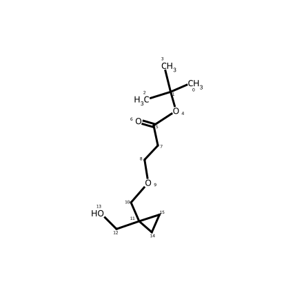 CC(C)(C)OC(=O)CCOCC1(CO)CC1